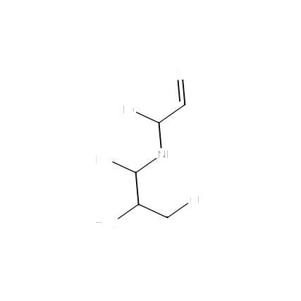 CCC(C)C(C)NC(O)[C]=O